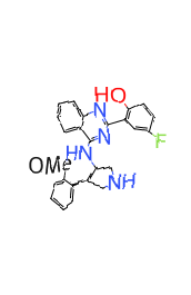 COc1ccccc1[C@@H]1CNCC1Nc1nc(-c2cc(F)ccc2O)nc2ccccc12